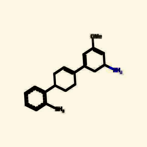 COC1=CC(N)CC(C2=CCC(c3ccccc3[SiH3])CC2)=C1